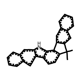 CC1(C)c2cc3ccccc3cc2-c2c1ccc1c2[nH]c2cc3ccccc3cc21